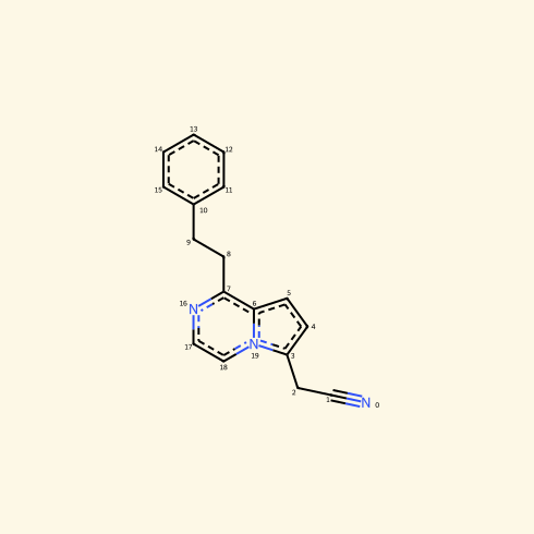 N#CCc1ccc2c(CCc3ccccc3)nccn12